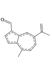 C=C(C)c1ccc(C)c2ccc(C=O)c-2c1